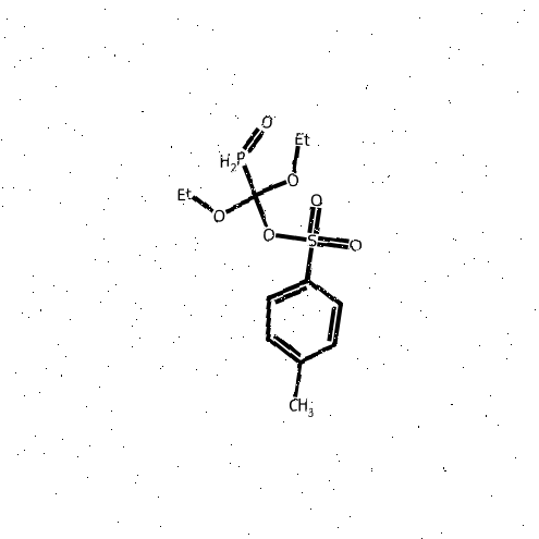 CCOC(OCC)(OS(=O)(=O)c1ccc(C)cc1)[PH2]=O